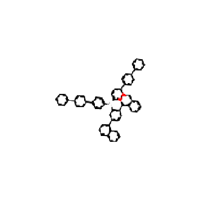 c1ccc(-c2ccc(-c3ccc(N(c4ccc(-c5ccc(-c6ccccc6)cc5)cc4)c4cc(-c5cccc6ccccc56)ccc4-c4cccc5ccccc45)cc3)cc2)cc1